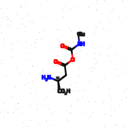 CC(C)(C)NC(=O)OC(=O)C[C@H](N)C(=O)O